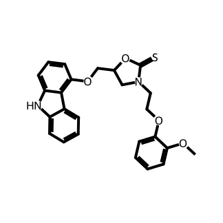 COc1ccccc1OCCN1CC(COc2cccc3[nH]c4ccccc4c23)OC1=S